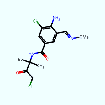 CCC(C)(NC(=O)c1cc(Cl)c(N)c(C=NOC)c1)C(=O)CCl